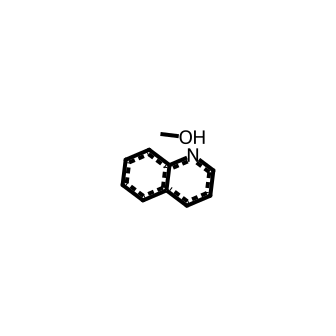 CO.c1ccc2ncccc2c1